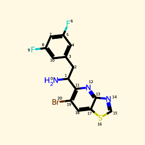 NC(Cc1cc(F)cc(F)c1)c1nc2ncsc2cc1Br